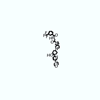 O=C(NCC(=O)N1CC[C@]2(CCN(C3CCC(O)(c4ccc(N5CCOCC5)cn4)CC3)C2)C1)c1cccc(C(F)(F)F)c1